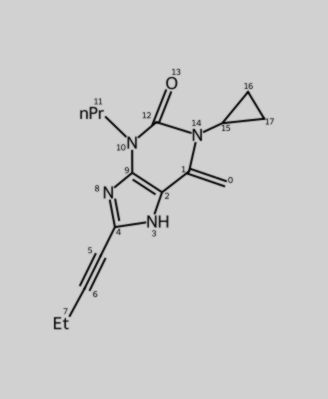 C=C1c2[nH]c(C#CCC)nc2N(CCC)C(=O)N1C1CC1